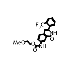 COCCOC(=O)Nc1ccc2cc(-c3ccccc3C(F)(F)F)[nH]c(=O)c2c1